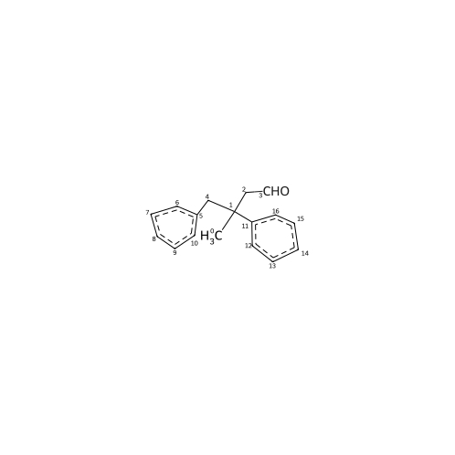 CC(CC=O)(Cc1ccccc1)c1ccccc1